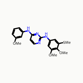 COc1cccc(Nc2ccnc(Nc3cc(OC)c(OC)c(SC)c3)n2)c1